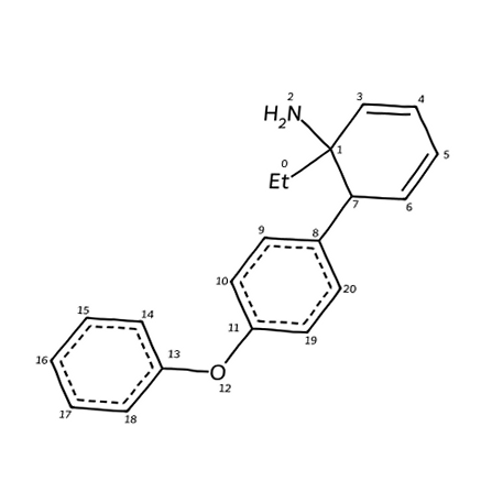 CCC1(N)C=CC=CC1c1ccc(Oc2ccccc2)cc1